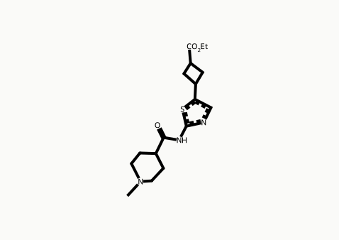 CCOC(=O)C1CC(c2cnc(NC(=O)C3CCN(C)CC3)s2)C1